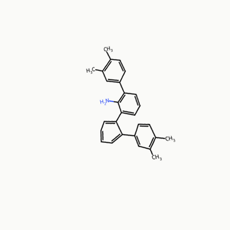 Cc1ccc(-c2ccccc2-c2cccc(-c3ccc(C)c(C)c3)c2N)cc1C